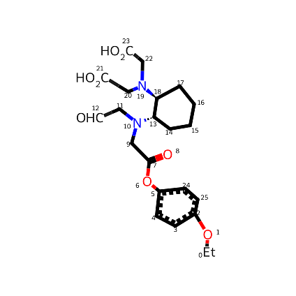 CCOc1ccc(OC(=O)CN(CC=O)[C@H]2CCCC[C@@H]2N(CC(=O)O)CC(=O)O)cc1